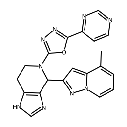 Cc1cccn2nc(C3c4nc[nH]c4CCN3c3nnc(-c4ccncn4)o3)cc12